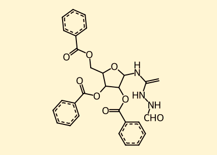 C=C(NNC=O)NC1OC(COC(=O)c2ccccc2)C(OC(=O)c2ccccc2)C1OC(=O)c1ccccc1